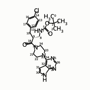 CC(C)(C)OC(=O)NC[C@@H](Cc1ccc(Cl)cc1)C(=O)N1CCN(c2ncnc3[nH]ccc23)CC1